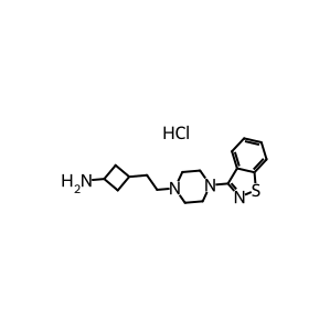 Cl.NC1CC(CCN2CCN(c3nsc4ccccc34)CC2)C1